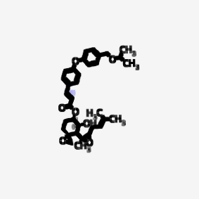 CC(C)=CCC1O[C@@]1(C)C1[C@H](O)[C@H](OC(=O)/C=C/c2ccc(Oc3ccc(COC(C)C)cc3)cc2)CC[C@]12CO2